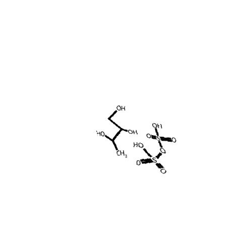 CC(O)C(O)CO.O=S(=O)(O)OS(=O)(=O)O